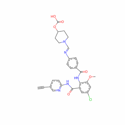 C#Cc1ccc(NC(=O)c2cc(Cl)cc(OC)c2NC(=O)c2ccc(N=CN3CCC(OC(=O)O)CC3)cc2)nc1